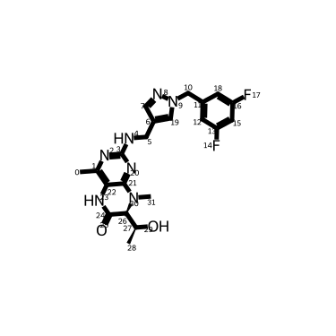 Cc1nc(NCc2cnn(Cc3cc(F)cc(F)c3)c2)nc2c1NC(=O)[C@H]([C@H](C)O)N2C